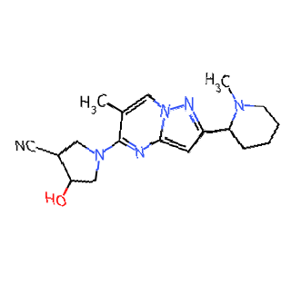 Cc1cn2nc(C3CCCCN3C)cc2nc1N1CC(O)C(C#N)C1